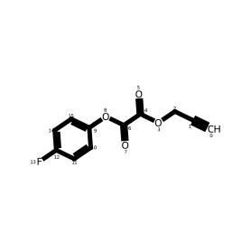 C#CCOC(=O)C(=O)Oc1ccc(F)cc1